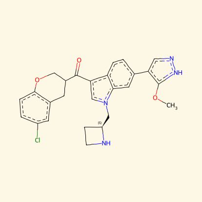 COc1[nH]ncc1-c1ccc2c(C(=O)C3COc4ccc(Cl)cc4C3)cn(C[C@@H]3CCN3)c2c1